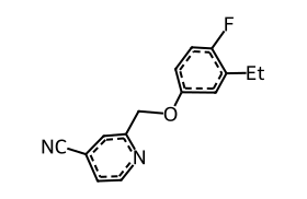 CCc1cc(OCc2cc(C#N)ccn2)ccc1F